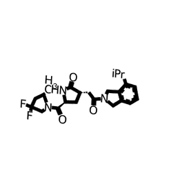 CC(C)c1cccc2c1CN(C(=O)C[C@@H]1C[C@@H](C(=O)N3CC(F)(F)C[C@H]3C)NC1=O)C2